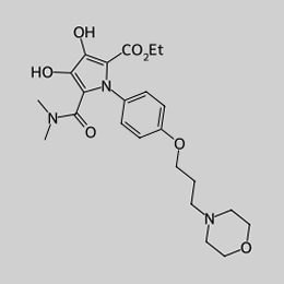 CCOC(=O)c1c(O)c(O)c(C(=O)N(C)C)n1-c1ccc(OCCCN2CCOCC2)cc1